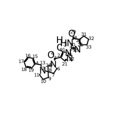 Cc1c(C(=O)N2CCC3(CCCN3Cc3ccccc3)C2)cnn1-c1nc2c(c(=O)[nH]1)CCC2